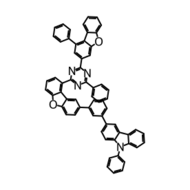 c1ccc(-c2nc(-c3cc(-c4ccccc4)c4c(c3)oc3ccccc34)nc(-c3cccc4oc5ccc(-c6cccc(-c7ccc8c(c7)c7ccccc7n8-c7ccccc7)c6)cc5c34)n2)cc1